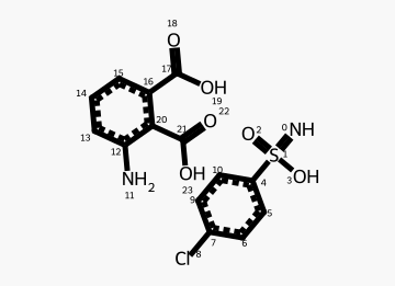 N=S(=O)(O)c1ccc(Cl)cc1.Nc1cccc(C(=O)O)c1C(=O)O